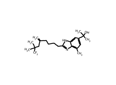 C=C(CCCCc1nc2c(C)cc(C(C)(C)O)cc2[nH]1)CC(C)(C)C(F)(F)F